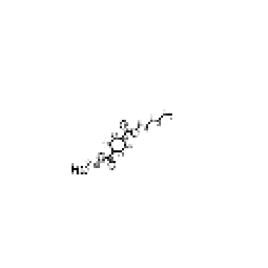 CCCCCCOC(=O)C1CCC(C(=O)OCCO)CC1